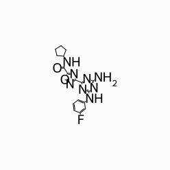 Nc1nc(Nc2cccc(F)c2)nc(-c2noc(C(=O)NC3CCCC3)n2)n1